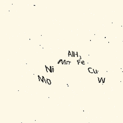 [AlH3].[Cu].[Fe].[Mn].[Mo].[Ni].[W]